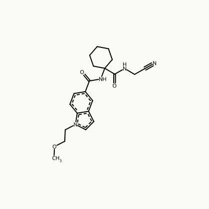 COCCn1ccc2cc(C(=O)NC3(C(=O)NCC#N)CCCCC3)ccc21